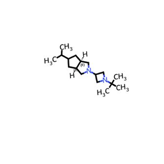 CC(C)C1C[C@@H]2CN(C3CN(C(C)(C)C)C3)C[C@@H]2C1